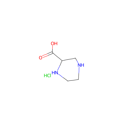 Cl.O=C(O)C1CNCCN1